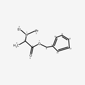 CCN(C(C)C)C(C)C(=O)OCc1ccccc1